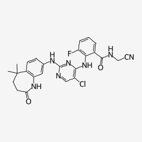 CC1(C)CCC(=O)Nc2cc(Nc3ncc(Cl)c(Nc4c(F)cccc4C(=O)NCC#N)n3)ccc21